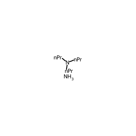 CCCN(CCC)CCC.N